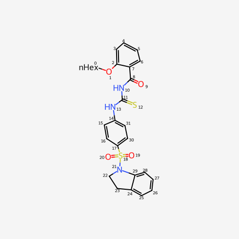 CCCCCCOc1ccccc1C(=O)NC(=S)Nc1ccc(S(=O)(=O)N2CCc3ccccc32)cc1